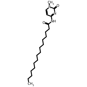 CCCCCCCCCCCCCCCC(=O)Nc1ccn(C)c(=O)n1